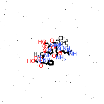 CC(C)C[C@H](NC(=O)[C@H](CCC(N)=O)NC(=O)[C@@H](N)Cc1c[nH]cn1)C(=O)N[C@@H](CC(=O)O)C(=O)N1CCC[C@H]1C(=O)N[C@@H](C)C(=O)N[C@@H](Cc1ccccc1)C(=O)NCC(=O)O